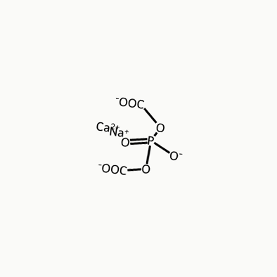 O=C([O-])OP(=O)([O-])OC(=O)[O-].[Ca+2].[Na+]